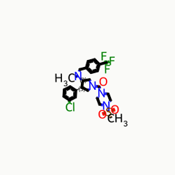 CN(Cc1ccc(C(F)(F)F)cc1)[C@H]1CN(C(=O)N2CCN(S(C)(=O)=O)CC2)C[C@@H]1c1cccc(Cl)c1